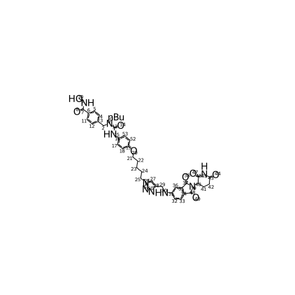 CCCCN(Cc1ccc(C(=O)NO)cc1)C(=O)Nc1ccc(OCCCCCn2cc(CNc3ccc4c(c3)C(=O)N(C3CCC(=O)NC3=O)C4=O)nn2)cc1